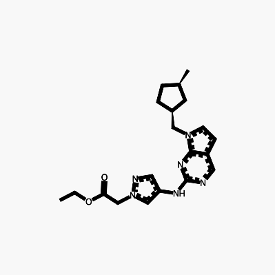 CCOC(=O)Cn1cc(Nc2ncc3ccn(C[C@H]4CC[C@@H](C)C4)c3n2)cn1